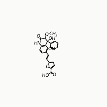 COC1C(=O)Nc2ccc(/C=C/c3ccc(C(=O)O)o3)c(O)c2C1(O)c1ccccc1